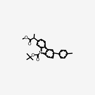 COC(=O)C(C)c1ccc2c3cc(-c4ccc(C)cc4)ccc3n(C(=O)OC(C)(C)C)c2c1